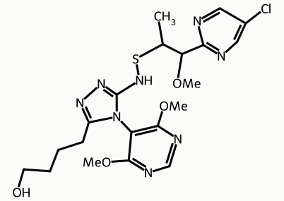 COc1ncnc(OC)c1-n1c(CCCCO)nnc1NSC(C)C(OC)c1ncc(Cl)cn1